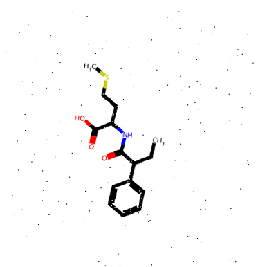 CCC(C(=O)NC(CCSC)C(=O)O)c1ccccc1